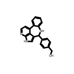 OCc1ccc(C2Nc3ccccc3-c3ccnc4[nH]cc2c34)cc1